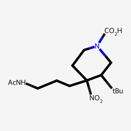 CC(=O)NCCCC1([N+](=O)[O-])CCN(C(=O)O)CC1C(C)(C)C